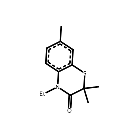 CCN1C(=O)C(C)(C)Sc2cc(C)ccc21